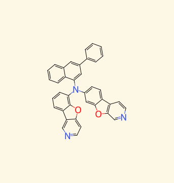 c1ccc(-c2cc(N(c3ccc4c(c3)oc3cnccc34)c3cccc4c3oc3ccncc34)c3ccccc3c2)cc1